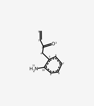 C=CC(=O)Cc1ccccc1N